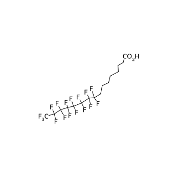 O=C(O)CCCCCCCC(F)(F)C(F)(F)C(F)(F)C(F)(F)C(F)(F)C(F)(F)C(F)(F)C(F)(F)F